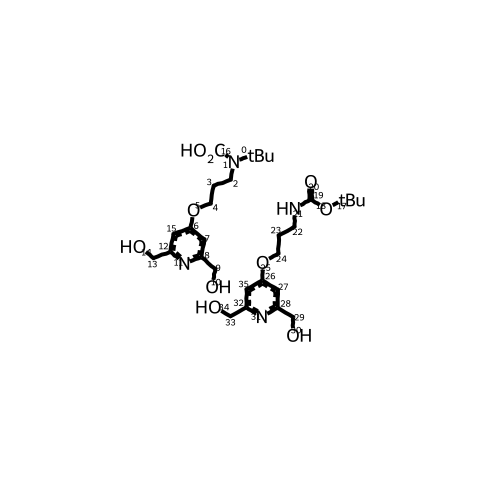 CC(C)(C)N(CCCOc1cc(CO)nc(CO)c1)C(=O)O.CC(C)(C)OC(=O)NCCCOc1cc(CO)nc(CO)c1